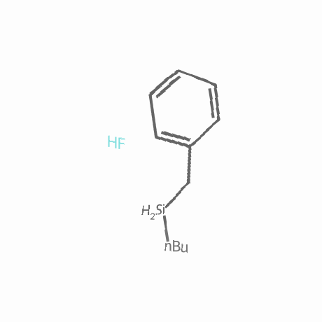 CCCC[SiH2]Cc1ccccc1.F